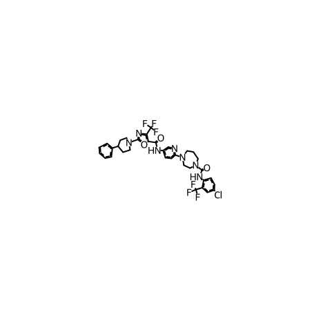 O=C(Nc1ccc(N2CCCN(C(=O)Nc3ccc(Cl)cc3C(F)(F)F)CC2)nc1)c1oc(N2CCC(c3ccccc3)CC2)nc1C(F)(F)F